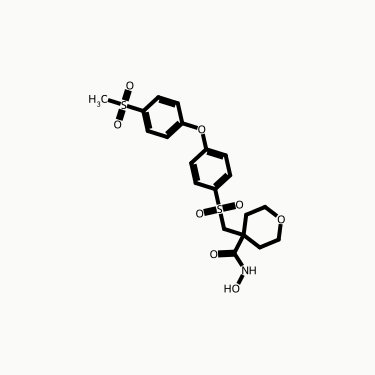 CS(=O)(=O)c1ccc(Oc2ccc(S(=O)(=O)CC3(C(=O)NO)CCOCC3)cc2)cc1